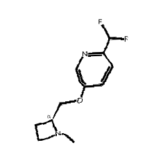 CN1CC[C@H]1COc1ccc(C(F)F)nc1